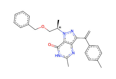 C=C(c1ccc(C)cc1)c1nn([C@H](C)COCc2ccccc2)c2c(=O)[nH]c(C)nc12